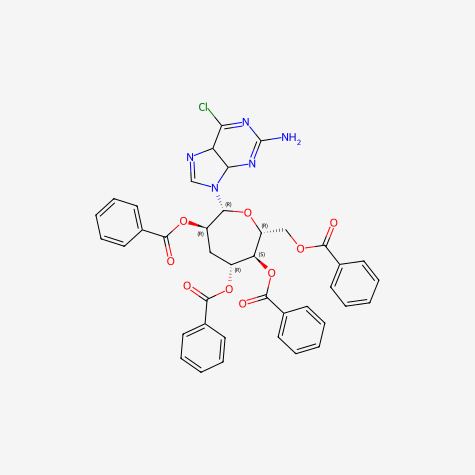 NC1=NC2C(N=CN2[C@@H]2O[C@H](COC(=O)c3ccccc3)[C@@H](OC(=O)c3ccccc3)[C@H](OC(=O)c3ccccc3)C[C@H]2OC(=O)c2ccccc2)C(Cl)=N1